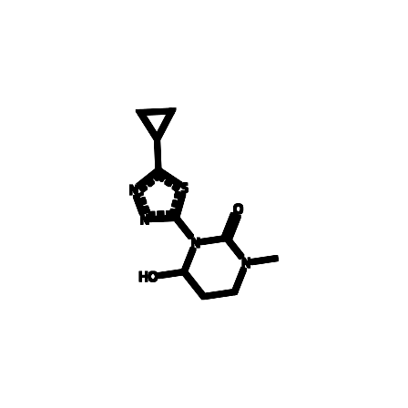 CN1CCC(O)N(c2nnc(C3CC3)s2)C1=O